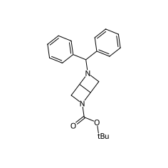 CC(C)(C)OC(=O)N1CC2C1CN2C(c1ccccc1)c1ccccc1